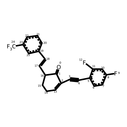 O=C1C(C#Cc2ccc(F)cc2F)=CCCC1/C=C/c1cccc(C(F)(F)F)c1